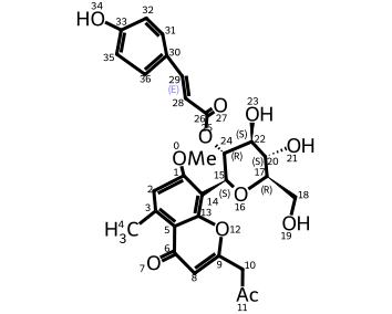 COc1cc(C)c2c(=O)cc(CC(C)=O)oc2c1[C@@H]1O[C@H](CO)[C@@H](O)[C@H](O)[C@H]1OC(=O)/C=C/c1ccc(O)cc1